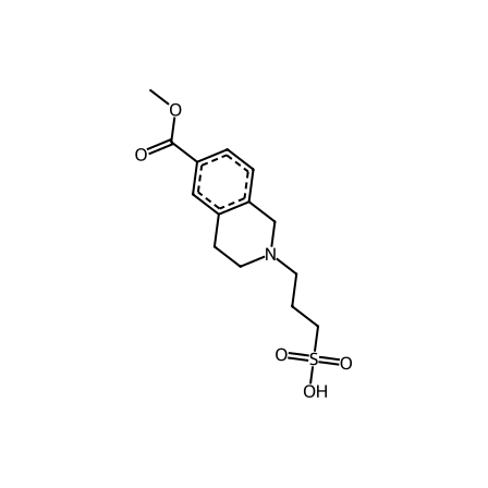 COC(=O)c1ccc2c(c1)CCN(CCCS(=O)(=O)O)C2